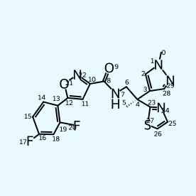 Cn1cc([C@](C)(CNC(=O)c2cc(-c3ccc(F)cc3F)on2)c2nccs2)cn1